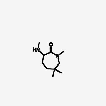 CNC1CCC(C)(C)CN(C)C1=O